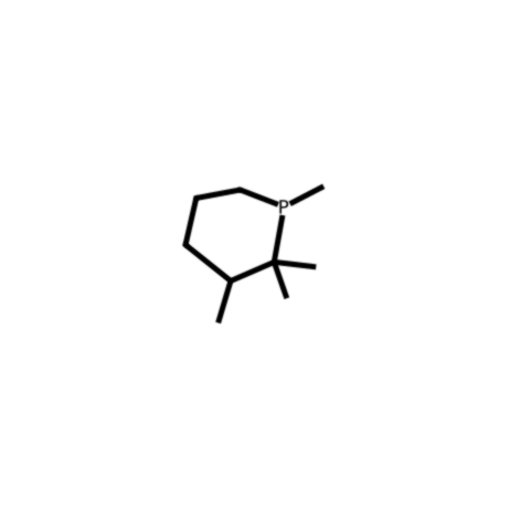 CC1CCCP(C)C1(C)C